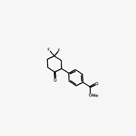 COC(=O)c1ccc(C2CC(F)(F)CCC2=O)cc1